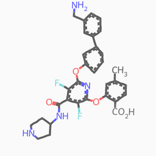 Cc1ccc(C(=O)O)c(Oc2nc(Oc3cccc(-c4cccc(CN)c4)c3)c(F)c(C(=O)NC3CCNCC3)c2F)c1